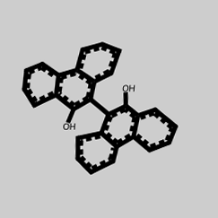 Oc1c(-c2c(O)c3ccccc3c3ccccc23)c2ccccc2c2ccccc12